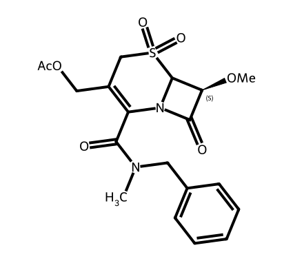 CO[C@H]1C(=O)N2C(C(=O)N(C)Cc3ccccc3)=C(COC(C)=O)CS(=O)(=O)C12